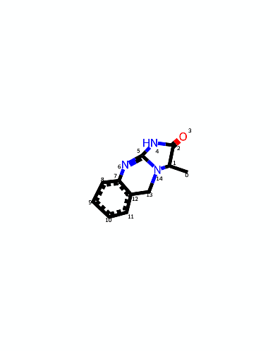 CC1C(=O)NC2=Nc3ccccc3CN21